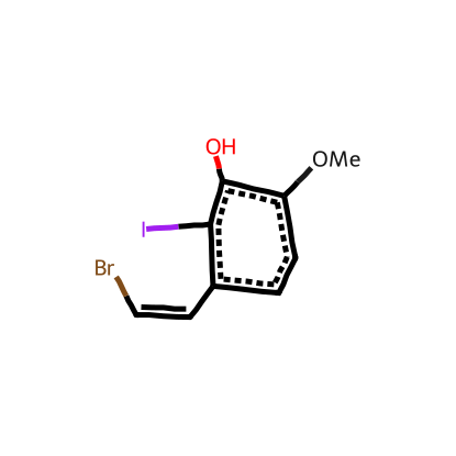 COc1ccc(/C=C\Br)c(I)c1O